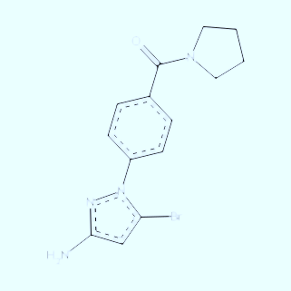 Nc1cc(Br)n(-c2ccc(C(=O)N3CCCC3)cc2)n1